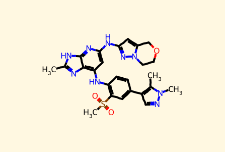 Cc1nc2c(Nc3ccc(-c4cnn(C)c4C)cc3S(C)(=O)=O)cc(Nc3cc4n(n3)CCOC4)nc2[nH]1